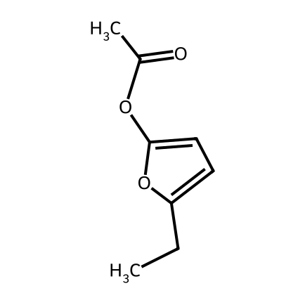 CCc1ccc(OC(C)=O)o1